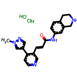 Cl.Cl.Cn1cc(-c2ccncc2/C=C/C(=O)Nc2ccc3c(c2)CNCC3)cn1